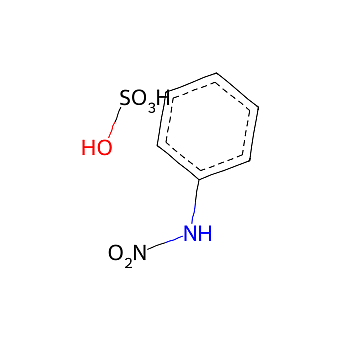 O=S(=O)(O)O.O=[N+]([O-])Nc1ccccc1